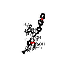 COC(=O)NC(C(=O)NC(Cc1ccc(-c2ccc(N3CC4CCC(C3)N4C3COC3)nc2)cc1)C(O)CN(Cc1c(F)cc(-c2nnc(C3CC3)o2)cc1F)NC(=O)C(NC(=O)O)C(C)(C)C(F)(F)F)C(C)(C)C(F)(F)F